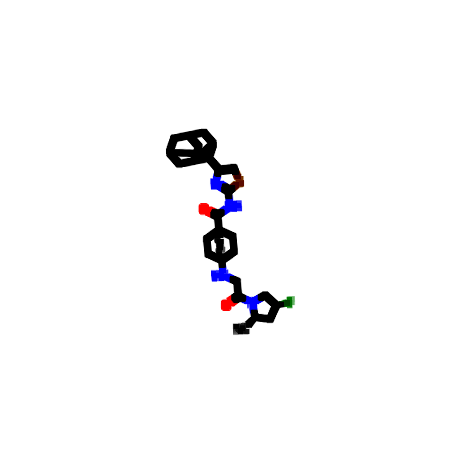 N#C[C@@H]1C[C@H](F)CN1C(=O)CNC12CCC(C(=O)Nc3nc(C4C5CC6CC(C5)CC4C6)cs3)(CC1)CC2